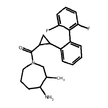 CC1CN(C(=O)C2CC2c2ccccc2-c2c(F)cccc2F)CCCC1N